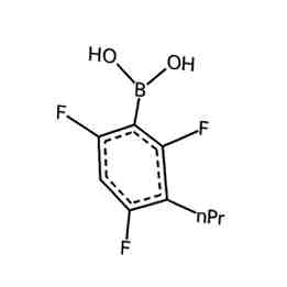 CCCc1c(F)cc(F)c(B(O)O)c1F